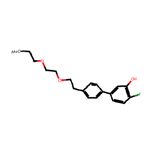 COCCOCCOCCc1ccc(-c2ccc(F)c(O)c2)cc1